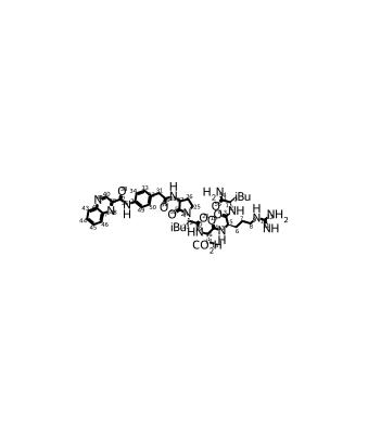 CC[C@H](C)[C@H](NC(=O)[C@@H](CCCNC(=N)N)NC(=O)[C@H](CC(=O)O)NC(=O)[C@H]([C@@H](C)CC)N1CCC(NC(=O)Cc2ccc(NC(=O)c3cnc4ccccc4n3)cc2)C1=O)C(N)=O